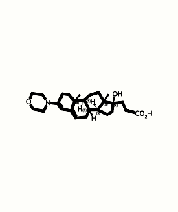 C[C@]12CCC(N3CCOCC3)=CC1=CC[C@@H]1[C@@H]2CC[C@@]2(C)[C@H]1CC[C@@]2(O)CCC(=O)O